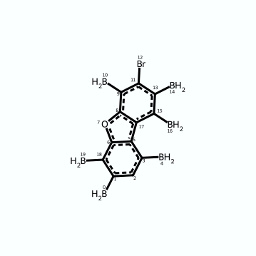 Bc1cc(B)c2c(oc3c(B)c(Br)c(B)c(B)c32)c1B